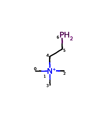 C[N+](C)(C)CCP